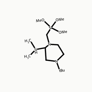 CO[Si](CN1CCN(C(C)(C)C)CC1[SiH](C)C)(OC)OC